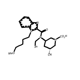 COCCCCn1c(C(=O)N(CC(C)C)C2C[C@@H](C#N)CN(C(=O)O)C2)nc2ccccc21